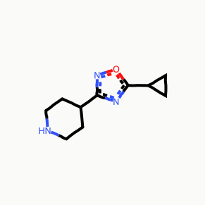 C1CC(c2noc(C3CC3)n2)CCN1